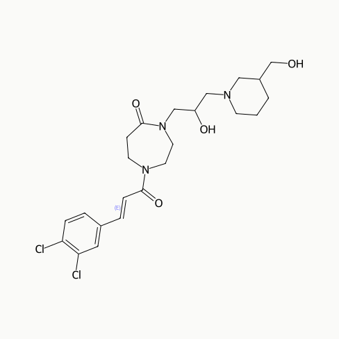 O=C(/C=C/c1ccc(Cl)c(Cl)c1)N1CCC(=O)N(CC(O)CN2CCCC(CO)C2)CC1